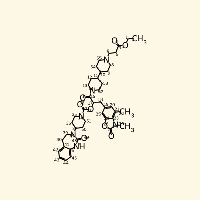 CCOC(=O)CCN1CCC(C2CCN(C(=O)[C@@H](Cc3cc(C)c4c(c3)oc(=O)n4C)OC(=O)N3CCC(N4CCc5ccccc5NC4=O)CC3)CC2)CC1